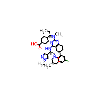 CC[C@H](C1CCC(C(=O)O)CC1)N(C)c1nc2c(c(N[C@@H](CN3CCC[C@H](C)C3)c3cnn(C)c3)n1)C[C@@H](c1cccc(F)c1)CC2